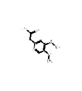 COc1cnc(CC(C)=O)cc1OC